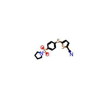 N#Cc1ccc(Sc2ccc(S(=O)(=O)N3CCCC3)cc2)s1